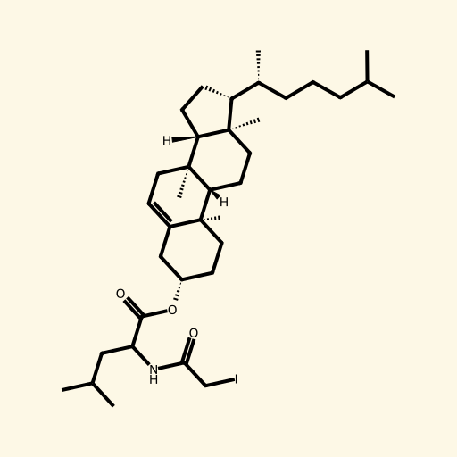 CC(C)CCC[C@@H](C)[C@H]1CC[C@@H]2[C@]1(C)CC[C@H]1[C@@]2(C)CC=C2C[C@@H](OC(=O)C(CC(C)C)NC(=O)CI)CC[C@@]21C